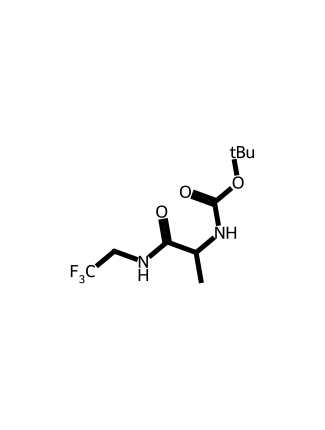 CC(NC(=O)OC(C)(C)C)C(=O)NCC(F)(F)F